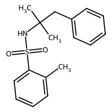 Cc1ccccc1S(=O)(=O)NC(C)(C)Cc1ccccc1